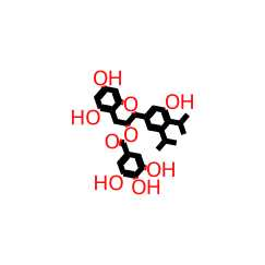 CC(C)c1cc(C2Oc3cc(O)cc(O)c3CC2OC(=O)c2cc(O)c(O)c(O)c2)cc(O)c1C(C)C